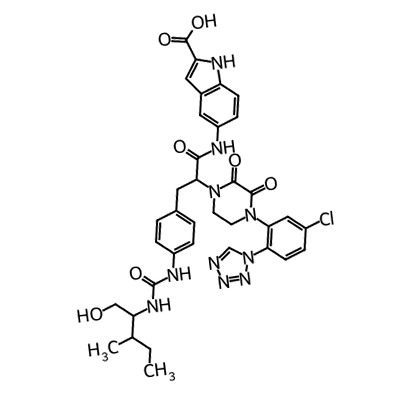 CCC(C)C(CO)NC(=O)Nc1ccc(CC(C(=O)Nc2ccc3[nH]c(C(=O)O)cc3c2)N2CCN(c3cc(Cl)ccc3-n3cnnn3)C(=O)C2=O)cc1